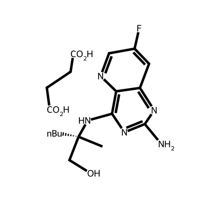 CCCC[C@](C)(CO)Nc1nc(N)nc2cc(F)cnc12.O=C(O)CCC(=O)O